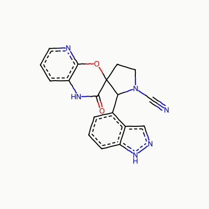 N#CN1CCC2(Oc3ncccc3NC2=O)C1c1cccc2[nH]ncc12